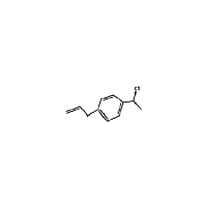 C=CCc1ccc(C(C)Cl)cc1